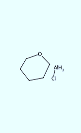 C1CCOCC1.[AlH2][Cl]